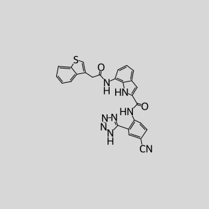 N#Cc1ccc(NC(=O)c2cc3cccc(NC(=O)Cc4csc5ccccc45)c3[nH]2)c(-c2nnn[nH]2)c1